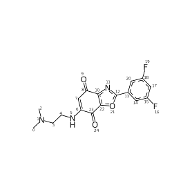 CN(C)CCNC1=CC(=O)c2nc(-c3cc(F)cc(F)c3)oc2C1=O